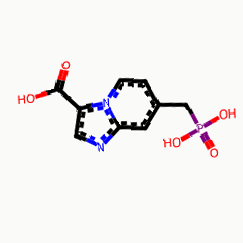 O=C(O)c1cnc2cc(CP(=O)(O)O)ccn12